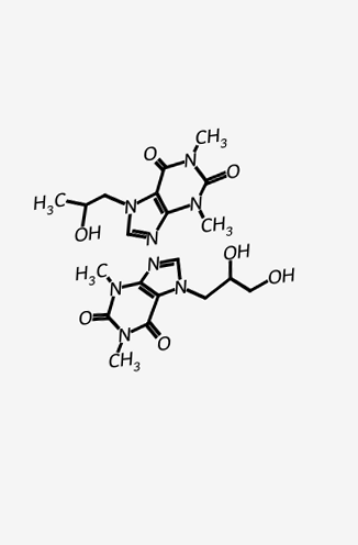 CC(O)Cn1cnc2c1c(=O)n(C)c(=O)n2C.Cn1c(=O)c2c(ncn2CC(O)CO)n(C)c1=O